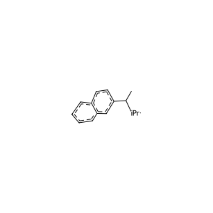 C[C](C)C(C)c1ccc2ccccc2c1